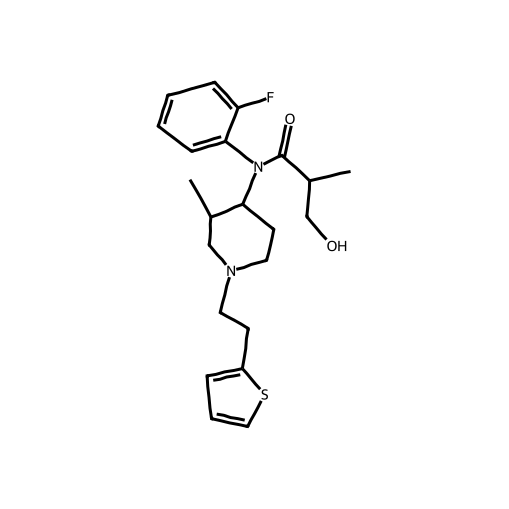 CC(CO)C(=O)N(c1ccccc1F)C1CCN(CCc2cccs2)CC1C